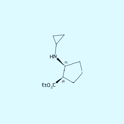 CCOC(=O)[C@@H]1CCC[C@@H]1NC1CC1